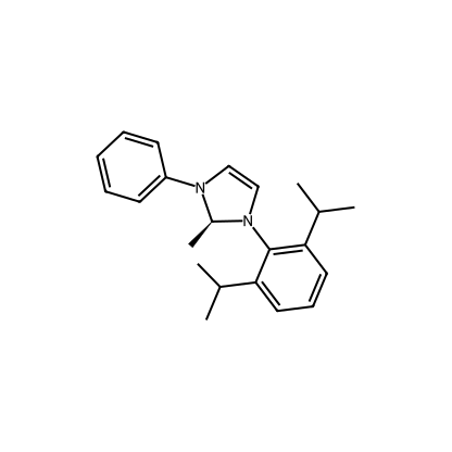 CC(C)c1cccc(C(C)C)c1N1C=CN(c2ccccc2)[C@@H]1C